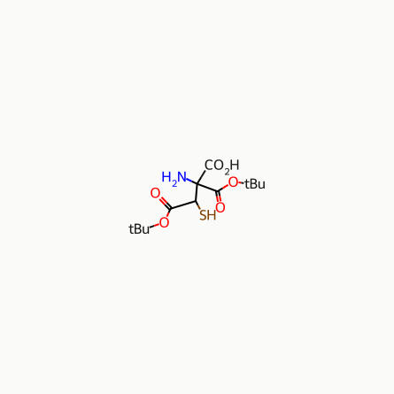 CC(C)(C)OC(=O)C(S)C(N)(C(=O)O)C(=O)OC(C)(C)C